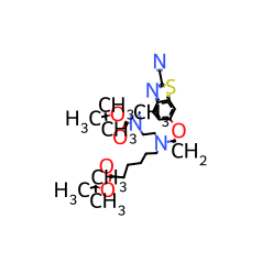 C=C(Oc1ccc2nc(C#N)sc2c1)N(CCCCCC(=O)OC(C)(C)C)CCN(C)C(=O)OC(C)(C)C